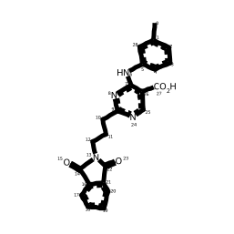 Cc1cccc(Nc2nc(CCCN3C(=O)c4ccccc4C3=O)ncc2C(=O)O)c1